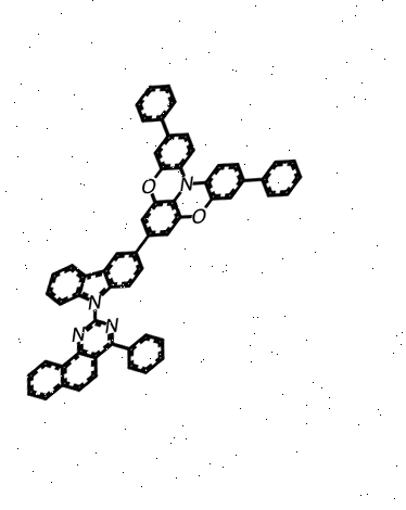 c1ccc(-c2ccc3c(c2)Oc2cc(-c4ccc5c(c4)c4ccccc4n5-c4nc(-c5ccccc5)c5ccc6ccccc6c5n4)cc4c2N3c2ccc(-c3ccccc3)cc2O4)cc1